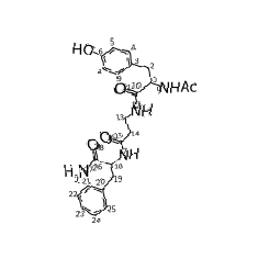 CC(=O)NC(Cc1ccc(O)cc1)C(=O)NCCC(=O)NC(Cc1ccccc1)C(N)=O